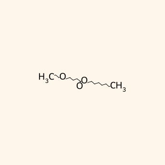 CCCCCCCCOC(=O)CCCCOCCC